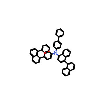 c1ccc(-c2ccc(N(c3ccc(-c4cccc5cccc(-c6ccccc6)c45)cc3)c3ccc(-c4cccc5ccccc45)c4ccccc34)cc2)cc1